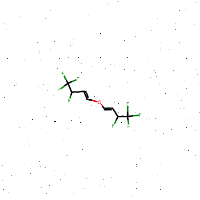 FC(C=COC=CC(F)C(F)(F)F)C(F)(F)F